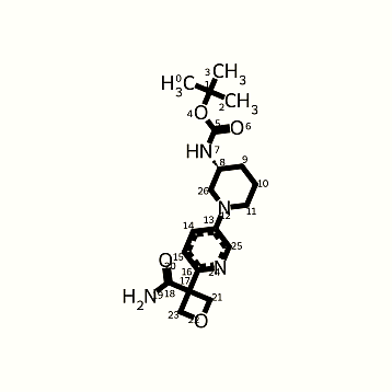 CC(C)(C)OC(=O)N[C@@H]1CCCN(c2ccc(C3(C(N)=O)COC3)nc2)C1